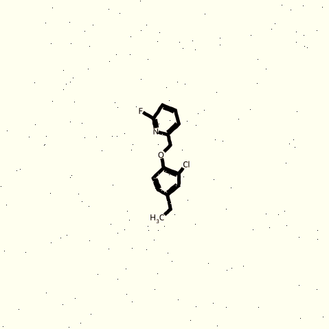 CCc1ccc(OCc2cccc(F)n2)c(Cl)c1